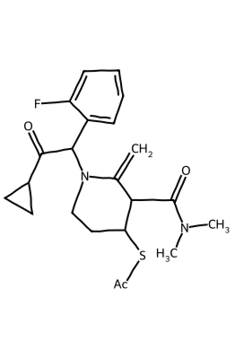 C=C1C(C(=O)N(C)C)C(SC(C)=O)CCN1C(C(=O)C1CC1)c1ccccc1F